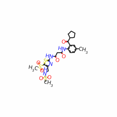 Cc1ccc(NC(=O)CC(=O)Nc2nc(CNS(C)(=O)=O)c(S(C)(=O)=O)s2)c(C(=O)C2CCCC2)c1